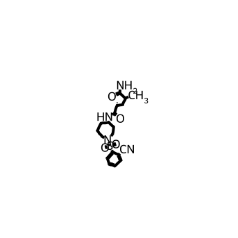 CC(C[CH]C(=O)N[C@H]1CCCN(S(=O)(=O)c2ccccc2C#N)CC1)C(N)=O